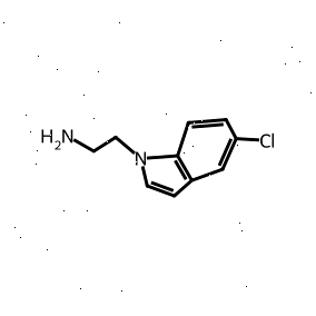 NCCn1ccc2cc(Cl)ccc21